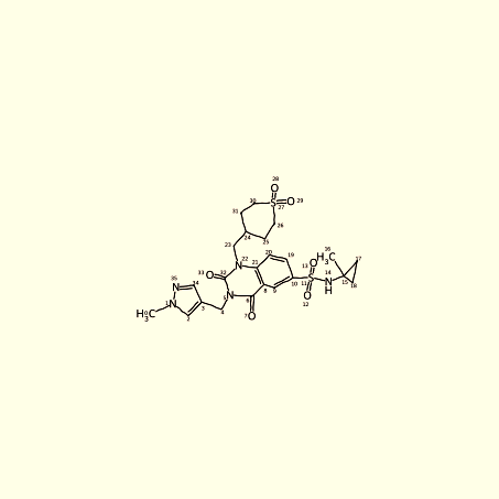 Cn1cc(Cn2c(=O)c3cc(S(=O)(=O)NC4(C)CC4)ccc3n(CC3CCS(=O)(=O)CC3)c2=O)cn1